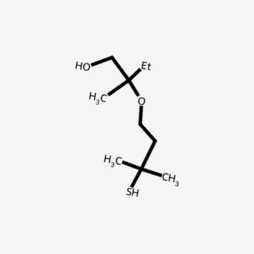 CCC(C)(CO)OCCC(C)(C)S